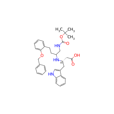 CC(C)(C)OC(=O)NCC(CCc1ccccc1OCc1ccccc1)N[C@H](CC(=O)O)Cc1c[nH]c2ccccc12